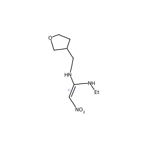 CCN/C(=C\[N+](=O)[O-])NCC1CCOC1